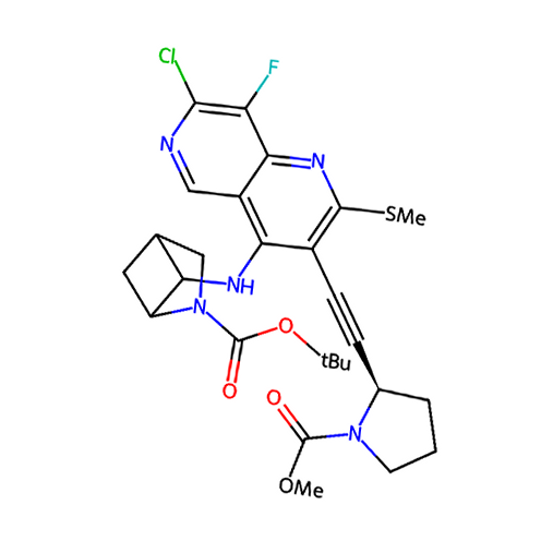 COC(=O)N1CCC[C@@H]1C#Cc1c(SC)nc2c(F)c(Cl)ncc2c1NC1C2CC1N(C(=O)OC(C)(C)C)C2